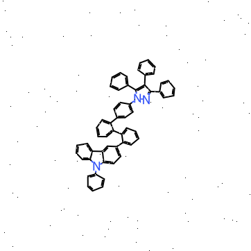 c1ccc(-c2nn(-c3ccc(-c4ccccc4-c4ccccc4-c4ccc5c(c4)c4ccccc4n5-c4ccccc4)cc3)c(-c3ccccc3)c2-c2ccccc2)cc1